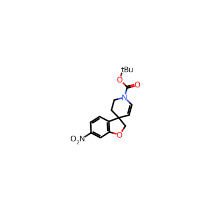 CC(C)(C)OC(=O)N1C=CC2(CC1)COc1cc([N+](=O)[O-])ccc12